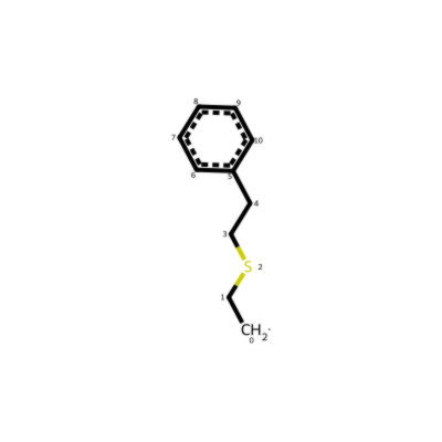 [CH2]CSCCc1ccccc1